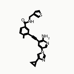 Cc1ccc(C(=O)NCc2ccsc2)cc1C#Cc1cc(-n2cnc(C3CC3)c2)cnc1N